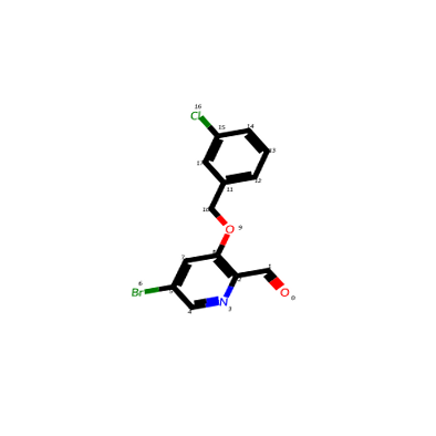 O=Cc1ncc(Br)cc1OCc1cccc(Cl)c1